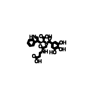 O=C(O)CCNC(=O)CN(C(=O)c1cc(O)c(O)c(O)c1)[C@@H](Cc1c[nH]c2ccccc12)C(=O)O